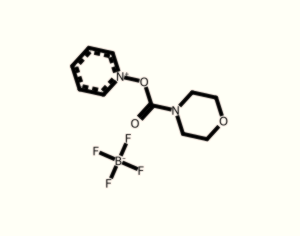 F[B-](F)(F)F.O=C(O[n+]1ccccc1)N1CCOCC1